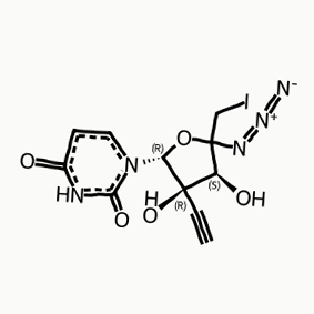 C#C[C@@]1(O)[C@H](O)C(CI)(N=[N+]=[N-])O[C@H]1n1ccc(=O)[nH]c1=O